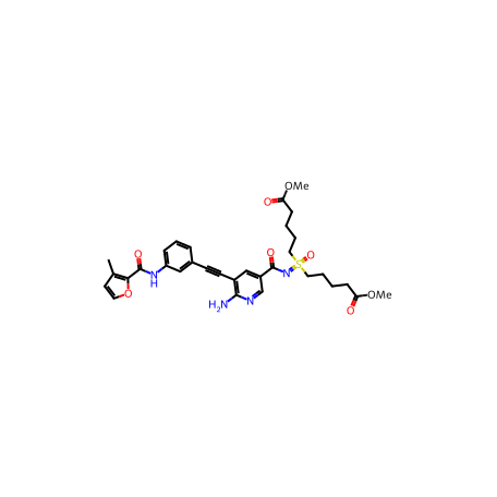 COC(=O)CCCCS(=O)(CCCCC(=O)OC)=NC(=O)c1cnc(N)c(C#Cc2cccc(NC(=O)c3occc3C)c2)c1